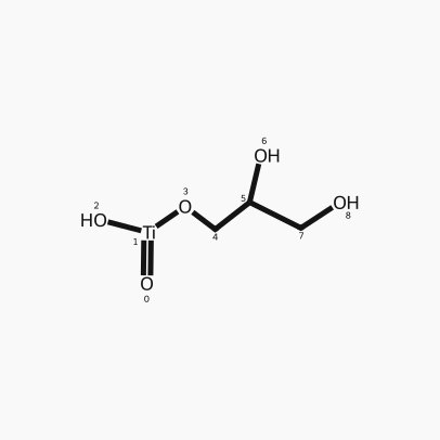 [O]=[Ti]([OH])[O]CC(O)CO